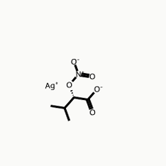 CC(C)[C@H](O[N+](=O)[O-])C(=O)[O-].[Ag+]